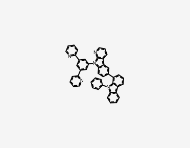 c1ccc(-n2c3ccccc3c3cccc(-c4ccc5c(c4)c4cccnc4n5-c4cc(-c5ccccn5)cc(-c5ccccn5)c4)c32)cc1